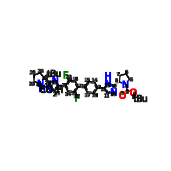 CC(C)(C)OC(=O)N1CCC[C@H]1c1ncc(-c2ccc(-c3cc(F)c(-c4c[nH]c([C@@]5(C(C)(C)C)CCCN5C(=O)O)n4)cc3F)cc2)[nH]1